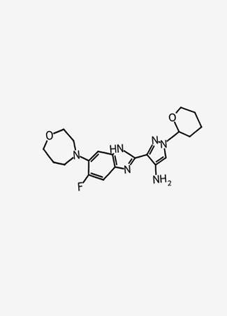 Nc1cn(C2CCCCO2)nc1-c1nc2cc(F)c(N3CCCOCC3)cc2[nH]1